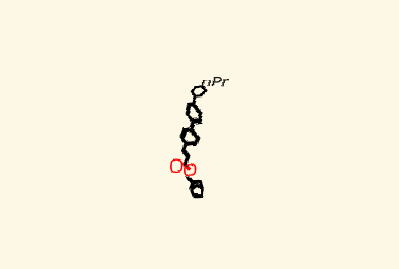 CCCC1CCC(c2ccc(-c3ccc(C=CC(=O)OCC4CC5C=CC4C5)cc3)cc2)CC1